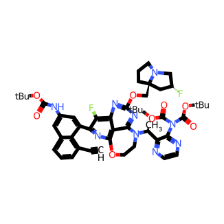 C#Cc1cccc2cc(NC(=O)OC(C)(C)C)cc(-c3nc4c5c(nc(OC[C@@]67CCCN6C[C@H](F)C7)nc5c3F)N([C@H](C)c3nccnc3N(C(=O)OC(C)(C)C)C(=O)OC(C)(C)C)CCO4)c12